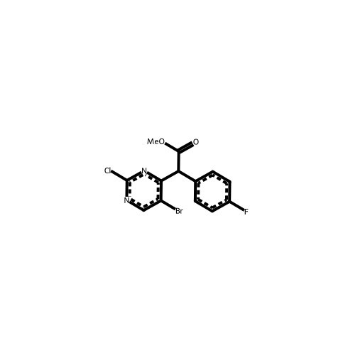 COC(=O)C(c1ccc(F)cc1)c1nc(Cl)ncc1Br